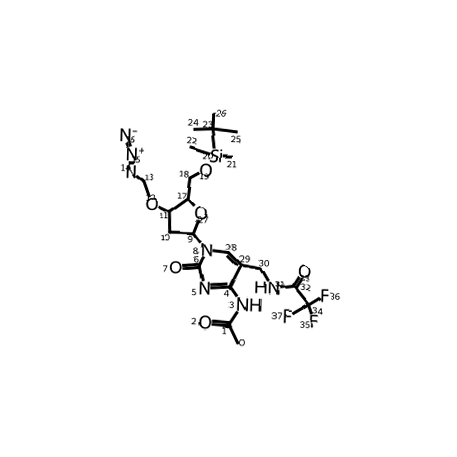 CC(=O)Nc1nc(=O)n(C2CC(OCN=[N+]=[N-])C(CO[Si](C)(C)C(C)(C)C)O2)cc1CNC(=O)C(F)(F)F